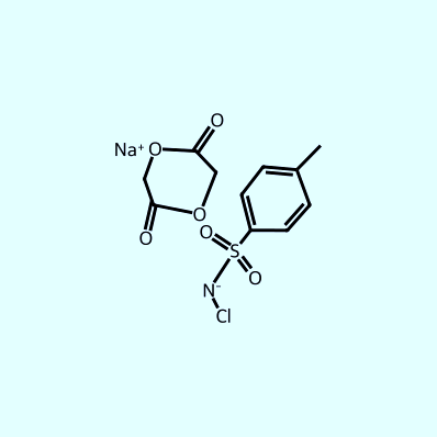 Cc1ccc(S(=O)(=O)[N-]Cl)cc1.O=C1COC(=O)CO1.[Na+]